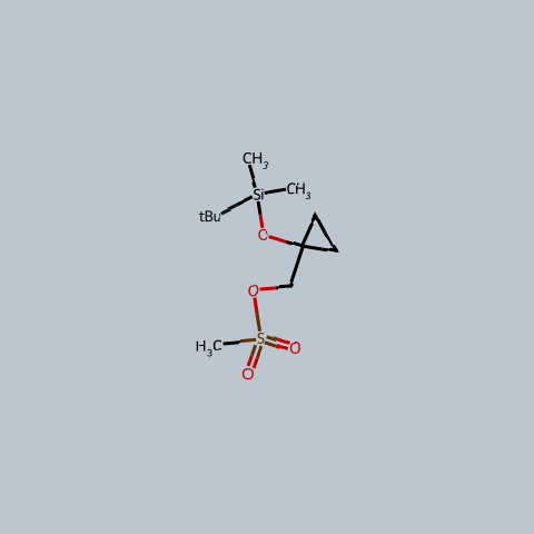 CC(C)(C)[Si](C)(C)OC1(COS(C)(=O)=O)CC1